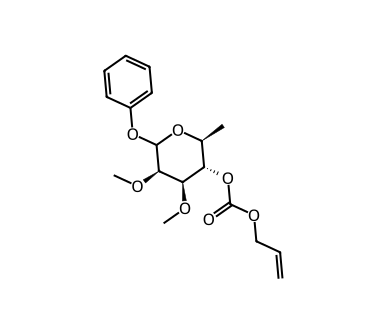 C=CCOC(=O)O[C@@H]1[C@@H](OC)[C@@H](OC)C(Oc2ccccc2)O[C@H]1C